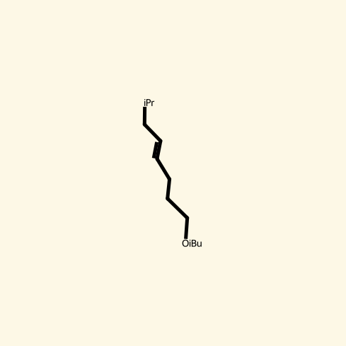 CC(C)C/C=C/CCCOCC(C)C